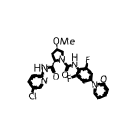 CO[C@@H]1C[C@H](C(=O)Nc2ccc(Cl)cn2)N(C(=O)Nc2c(F)cc(-n3ccccc3=O)cc2F)C1